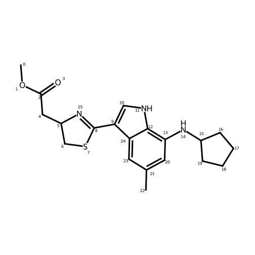 COC(=O)CC1CSC(c2c[nH]c3c(NC4CCCC4)cc(C)cc23)=N1